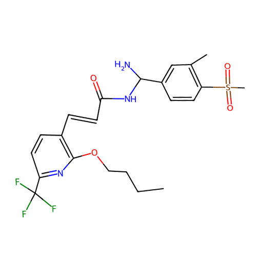 CCCCOc1nc(C(F)(F)F)ccc1C=CC(=O)NC(N)c1ccc(S(C)(=O)=O)c(C)c1